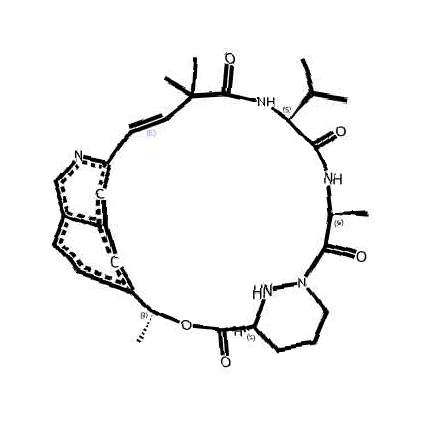 CC(C)[C@@H]1NC(=O)C(C)(C)/C=C/c2cc3cc(ccc3cn2)[C@@H](C)OC(=O)[C@@H]2CCCN(N2)C(=O)[C@H](C)NC1=O